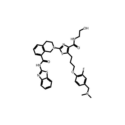 CN(C)Cc1ccc(OCCCc2sc(N3CCc4cccc(C(=O)Nc5nc6ccccc6s5)c4C3)nc2C(=O)NCCO)c(F)c1